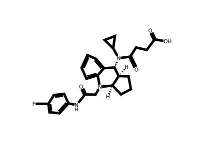 O=C(O)CCC(=O)N(C1CC1)[C@H]1c2ccccc2N(CC(=O)Nc2ccc(F)cc2)[C@@H]2CCC[C@@H]21